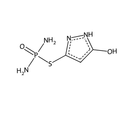 NP(N)(=O)Sc1cc(O)[nH]n1